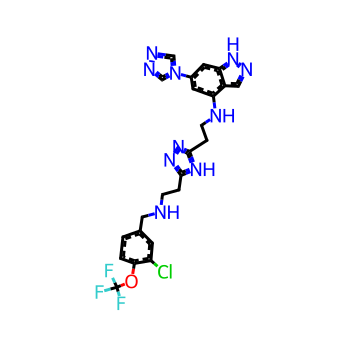 FC(F)(F)Oc1ccc(CNCCc2nnc(CCNc3cc(-n4cnnc4)cc4[nH]ncc34)[nH]2)cc1Cl